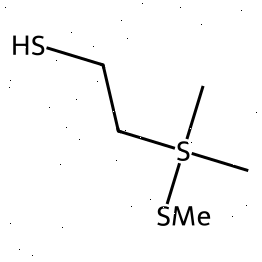 CSS(C)(C)CCS